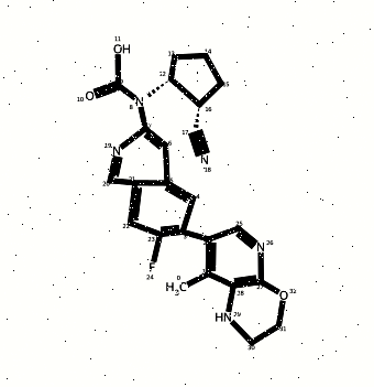 Cc1c(-c2cc3cc(N(C(=O)O)[C@@H]4CCC[C@@H]4C#N)ncc3cc2F)cnc2c1NCCO2